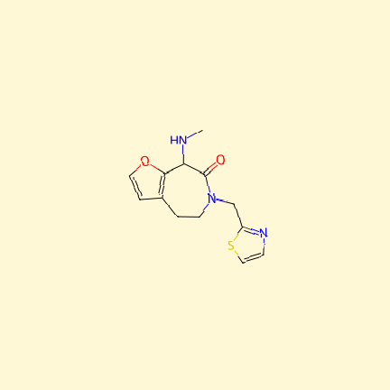 CNC1C(=O)N(Cc2nccs2)CCc2ccoc21